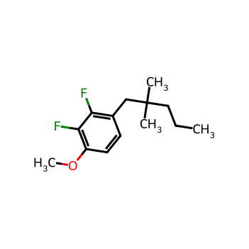 CCCC(C)(C)Cc1ccc(OC)c(F)c1F